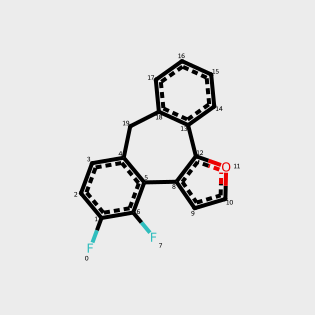 Fc1ccc2c(c1F)-c1ccoc1-c1ccccc1C2